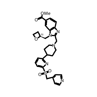 COC(=O)c1ccc2nc(CN3CCC(c4cccc(S(=O)(=O)Cc5ccncc5)n4)CC3)n(C[C@@H]3CCO3)c2c1